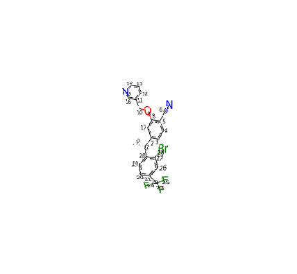 [CH2][C@H](c1ccc(C#N)c(OCc2cccnc2)c1)c1ccc(C(F)(F)F)cc1Br